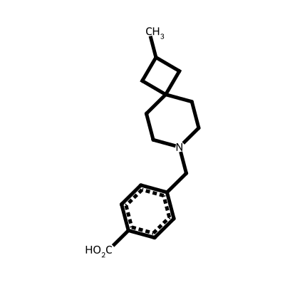 CC1CC2(CCN(Cc3ccc(C(=O)O)cc3)CC2)C1